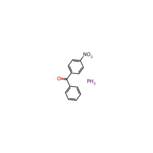 O=C(c1ccccc1)c1ccc([N+](=O)[O-])cc1.P